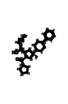 C[C@]1(N2CCN(c3ccccc3)CC2)C[C@@H](C(=O)N2CCCC2)N(C(=O)O)C1.[CH3][Mg][Br]